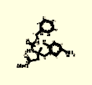 COC(=O)CC(C)(Cc1cc(N)ccc1C)NC(=O)OCc1ccccc1